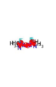 CCOC(=O)C1=C(C)N(c2cccc(C(F)(F)F)c2)C(=O)N(CCCN2CCN(C(=O)c3ccccc3-c3ccccc3C(=O)N3CCN(CCCN4C(=O)N(c5cccc(C(F)(F)F)c5)C(C)=C(C(=O)OCC)C4c4ccc(C#N)cc4)CC3)CC2)C1c1ccc(C#N)cc1